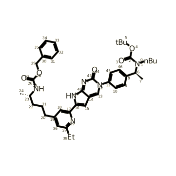 CCCCN(C(=O)OC(C)(C)C)[C@@H](C)c1ccc(-n2cc3cc(-c4cc(CCC[C@H](C)NC(=O)OCc5ccccc5)cc(CC)n4)[nH]c3nc2=O)cc1